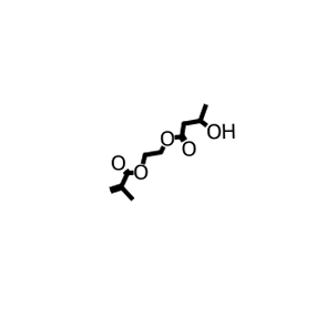 C=C(C)C(=O)OCCOC(=O)CC(C)O